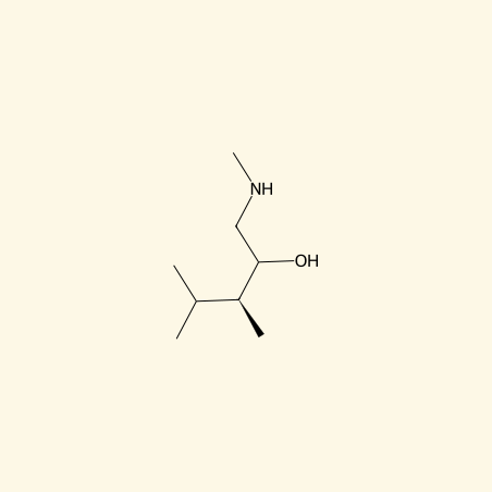 CNCC(O)[C@@H](C)C(C)C